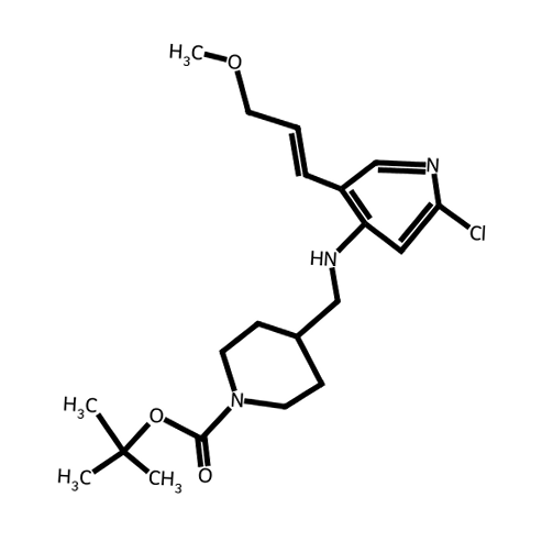 COCC=Cc1cnc(Cl)cc1NCC1CCN(C(=O)OC(C)(C)C)CC1